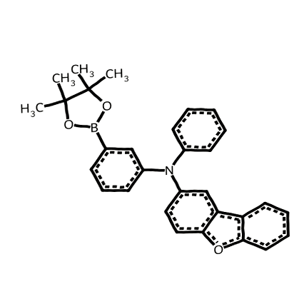 CC1(C)OB(c2cccc(N(c3ccccc3)c3ccc4oc5ccccc5c4c3)c2)OC1(C)C